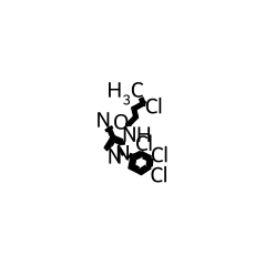 CC(Cl)CCC(=O)Nc1c(C#N)cnn1-c1ccc(Cl)c(Cl)c1Cl